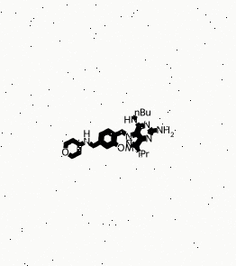 CCCCNc1nc(N)nc2c(C(C)C)nn(Cc3ccc(CNC4CCOCC4)cc3OC)c12